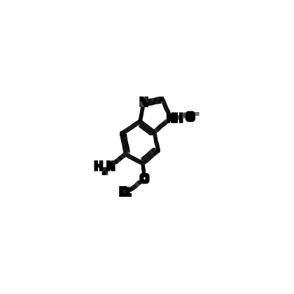 CCOc1cc2c(cc1N)N=C[NH+]2[O-]